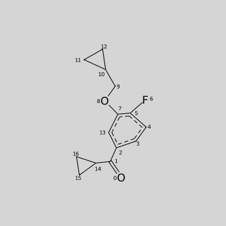 O=C(c1ccc(F)c(OCC2CC2)c1)C1CC1